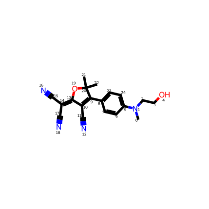 CN(CCO)c1ccc(C2=C(C#N)C(=C(C#N)C#N)OC2(C)C)cc1